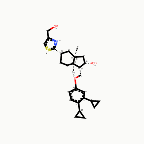 OCc1csc([C@H]2CC[C@H]3[C@@H](C2)C[C@H](O)[C@@H]3COc2ccc(C3CC3)c(C3CC3)c2)n1